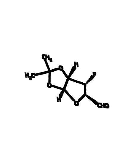 CC1(C)O[C@H]2O[C@H](C=O)[C@@H](F)[C@H]2O1